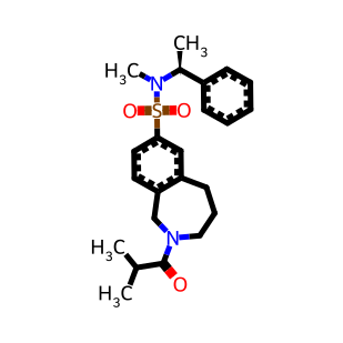 CC(C)C(=O)N1CCCc2cc(S(=O)(=O)N(C)[C@@H](C)c3ccccc3)ccc2C1